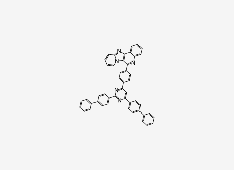 c1ccc(-c2ccc(-c3cc(-c4ccc(-c5nc6ccccc6c6nc7ccccn7c56)cc4)nc(-c4ccc(-c5ccccc5)cc4)n3)cc2)cc1